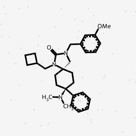 COc1cccc(CN2C[C@]3(CC[C@](c4ccccc4)(N(C)C)CC3)N(CC3CCC3)C2=O)c1